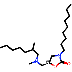 CCCCCCCCCN1C[C@H](CN(C)CC(C)CCCCC)OC1=O